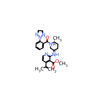 C=C(C)c1ccnc(N[C@@H]2CC[C@@H](C)N(C(=O)c3ccccc3-n3nccn3)C2)c1C(=O)OC